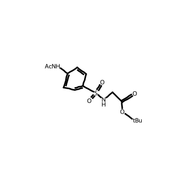 CC(=O)Nc1ccc(S(=O)(=O)NCC(=O)OC(C)(C)C)cc1